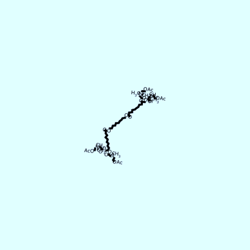 CC(=O)OCCN(C)CC(=O)OC(CCCCCCCCC(=O)OCCCCCCCCCCOC(=O)CCCCCCCCC(COC(=O)C[PH](C)(C)CCOC(C)=O)OC(=O)C[N+](C)(C)CCOC(C)=O)COC(=O)C[N+](C)(C)CCOC(C)=O